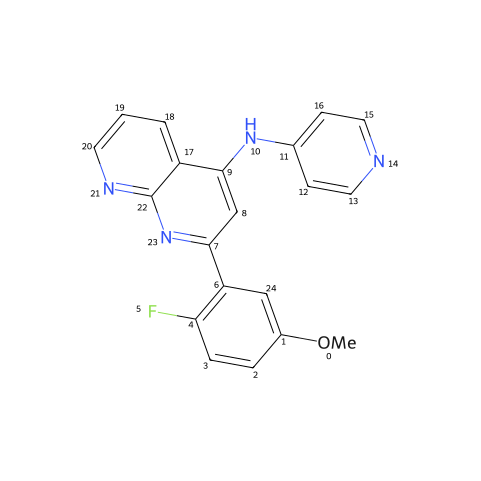 COc1ccc(F)c(-c2cc(Nc3ccncc3)c3cccnc3n2)c1